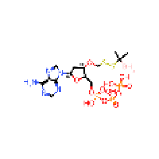 BC(C)(C)SSCO[C@@H]1C[C@H](n2cnc3c(N)ncnc32)OC1COP(=O)(O)OP(=O)(O)OP(=O)(O)O